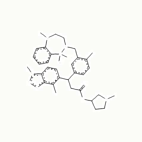 Cc1ccc(C(CC(=O)OC2CCN(C)C2)c2ccc3c(nnn3C)c2C)cc1CN1CCN(C)c2ccccc2S1(O)O